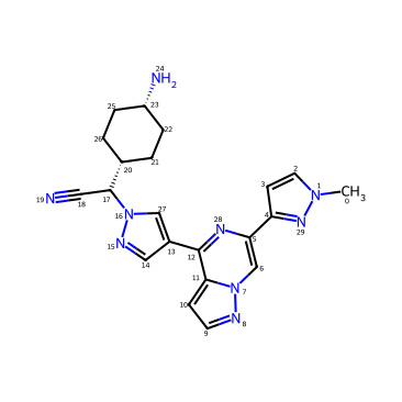 Cn1ccc(-c2cn3nccc3c(-c3cnn(C(C#N)[C@H]4CC[C@@H](N)CC4)c3)n2)n1